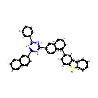 c1ccc(-c2nc(-c3ccc4ccccc4c3)nc(-c3ccc4c(-c5ccc6sc7ccccc7c6c5)cccc4c3)n2)cc1